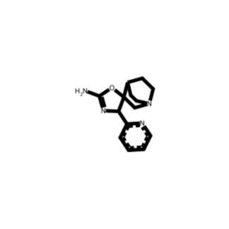 NC1=NC(c2ccccn2)C2(CN3CCC2CC3)O1